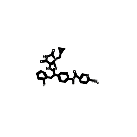 CN(C(=O)c1ccc(N)nc1)c1ccc(C(Cc2ccccc2F)c2nc3c([nH]2)c(=O)[nH]c(=O)n3CC2CC2)cc1